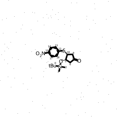 CC(C)(C)[Si](C)(C)O[C@H]1CC(=O)C[C@@H]1Sc1ccc([N+](=O)[O-])cc1